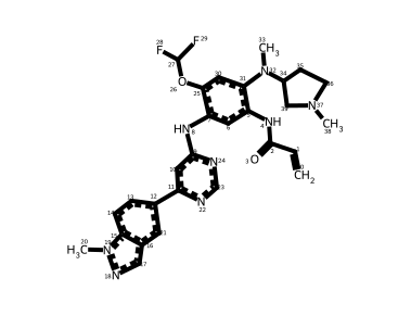 C=CC(=O)Nc1cc(Nc2cc(-c3ccc4c(cnn4C)c3)ncn2)c(OC(F)F)cc1N(C)C1CCN(C)C1